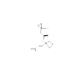 CC(C)OCC1(NC(=O)CC2(N)CC2)CCC1